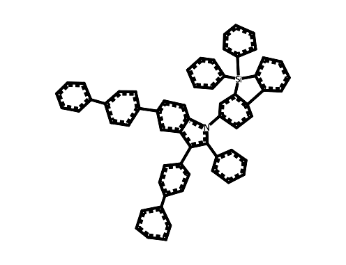 c1ccc(-c2ccc(-c3ccc4c(c3)c(-c3ccc(-c5ccccc5)cc3)c(-c3ccccc3)n4-c3ccc4c(c3)[Si](c3ccccc3)(c3ccccc3)c3ccccc3-4)cc2)cc1